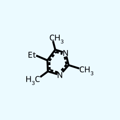 CCc1c(C)nc(C)nc1C